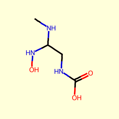 CNC(CNC(=O)O)NO